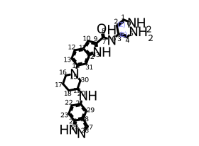 N/C=C\C(=C/N)NC(=O)c1cc2ccc(N3CCCC(Nc4ccc5[nH]ncc5c4)C3)cc2[nH]1